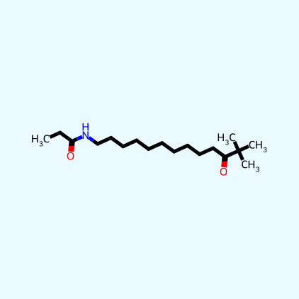 CCC(=O)NCCCCCCCCCCC(=O)C(C)(C)C